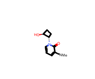 CNc1cccn([C@H]2CC[C@@H]2O)c1=O